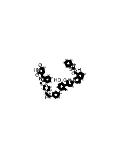 Cc1c(O[C@H]2CC[C@H](CC(F)(F)CN3CCN(c4cccc5c(C6CCC(=O)NC6=O)nn(C)c45)CC3)CC2)cccc1-c1ccc(N2CCc3cccc(C(=O)Nc4nc5ccccc5s4)c3C2)nc1C(=O)O